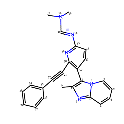 Cc1nc2ccccn2c1-c1ccc(/N=C/N(C)C)nc1C#Cc1ccccc1